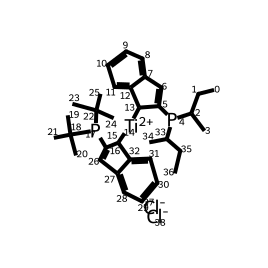 CCC(C)P(C1=Cc2ccccc2[CH]1[Ti+2][CH]1C(P(C(C)(C)C)C(C)(C)C)=Cc2ccccc21)C(C)CC.[Cl-].[Cl-]